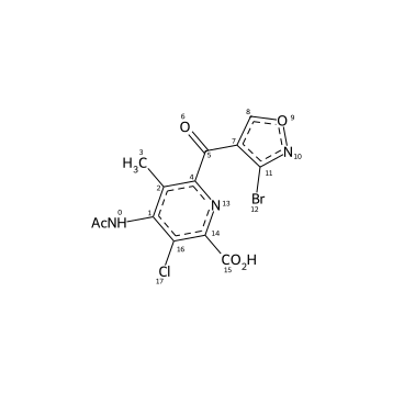 CC(=O)Nc1c(C)c(C(=O)c2conc2Br)nc(C(=O)O)c1Cl